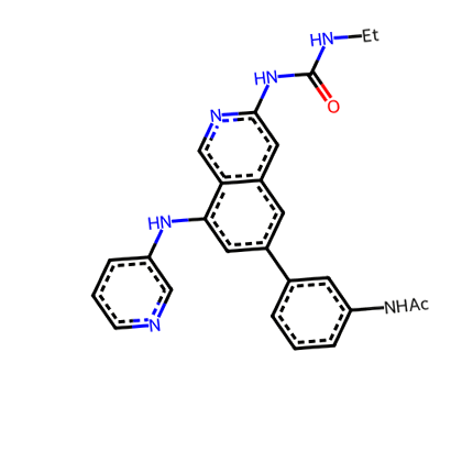 CCNC(=O)Nc1cc2cc(-c3cccc(NC(C)=O)c3)cc(Nc3cccnc3)c2cn1